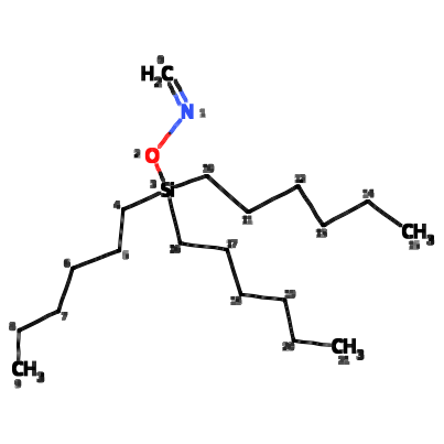 C=NO[Si](CCCCCC)(CCCCCC)CCCCCC